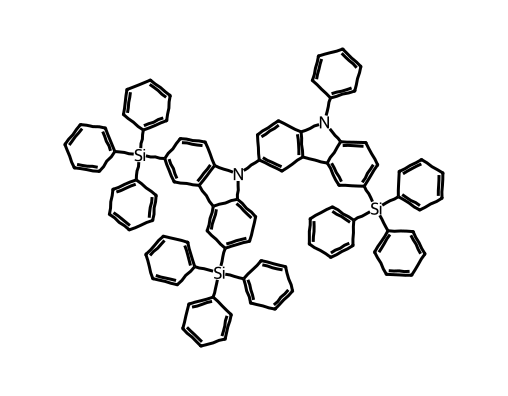 c1ccc(-n2c3ccc(-n4c5ccc([Si](c6ccccc6)(c6ccccc6)c6ccccc6)cc5c5cc([Si](c6ccccc6)(c6ccccc6)c6ccccc6)ccc54)cc3c3cc([Si](c4ccccc4)(c4ccccc4)c4ccccc4)ccc32)cc1